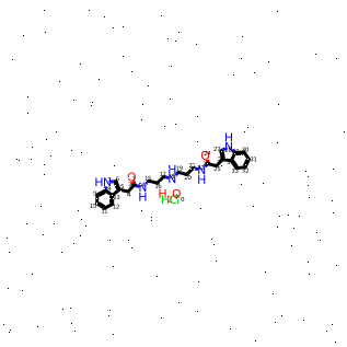 Cl.O.O=C(Cc1c[nH]c2ccccc12)NCCCNCCCNC(=O)Cc1c[nH]c2ccccc12